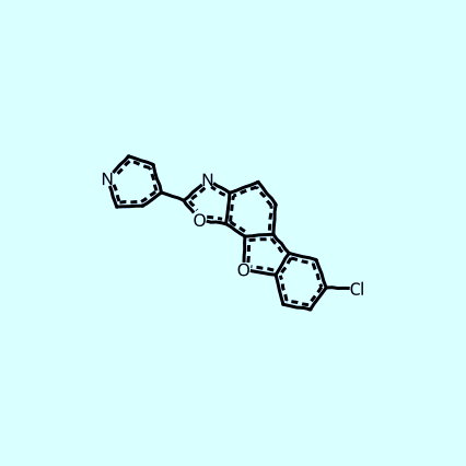 Clc1ccc2oc3c(ccc4nc(-c5ccncc5)oc43)c2c1